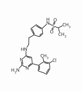 Cc1c(Cl)cccc1-c1cc(NCCc2ccc(NS(=O)(=O)C(C)C)cc2)nc(N)n1